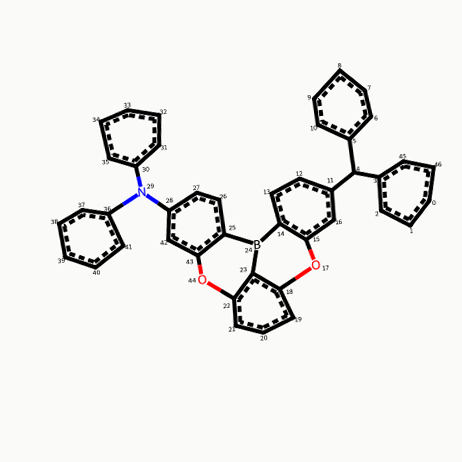 c1ccc(C(c2ccccc2)c2ccc3c(c2)Oc2cccc4c2B3c2ccc(N(c3ccccc3)c3ccccc3)cc2O4)cc1